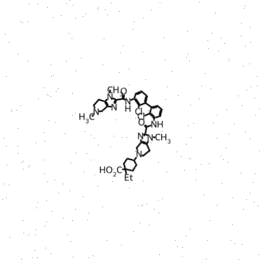 CCC1(C(=O)O)CCC(N2CCc3c(nc(C(=O)Nc4cccc(-c5cccc(NC(=O)c6nc7c(n6C)CCN(C)C7)c5Cl)c4Cl)n3C)C2)CC1